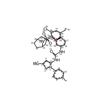 Cc1ccc(-n2nc(C(C)(C)C)cc2NC(=O)Nc2cccc(CC3CC4CCC(C3)N4S(=O)(=O)c3ccc(F)cc3Cl)c2)cc1